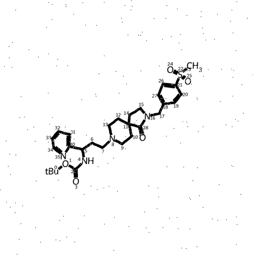 CC(C)(C)OC(=O)NC(CCN1CCC2(CC1)CCN(Cc1ccc(S(C)(=O)=O)cc1)C2=O)c1ccccn1